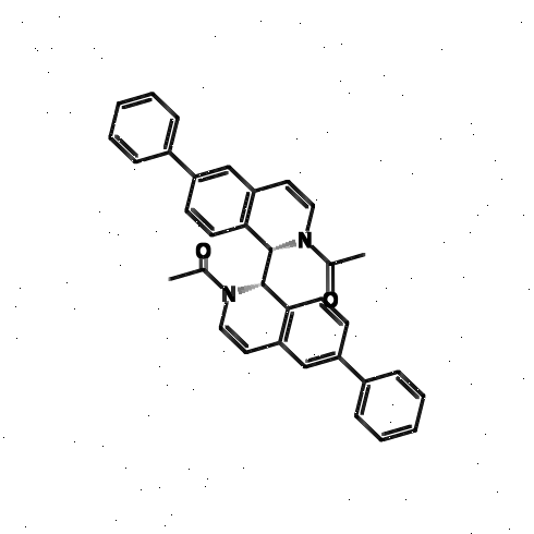 CC(=O)N1C=Cc2cc(-c3ccccc3)ccc2[C@H]1[C@@H]1c2ccc(-c3ccccc3)cc2C=CN1C(C)=O